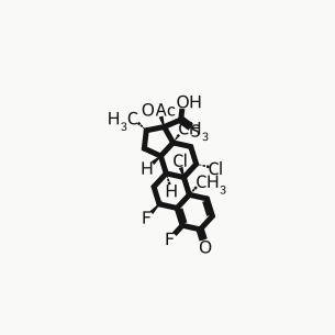 CC(=O)O[C@]1(C(O)=S)[C@@H](C)C[C@H]2[C@@H]3C[C@H](F)C4=C(F)C(=O)C=C[C@]4(C)[C@@]3(Cl)[C@@H](Cl)C[C@@]21C